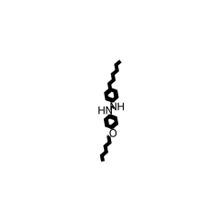 CCCCCCOc1ccc(NNc2ccc(CCCCCC)cc2)cc1